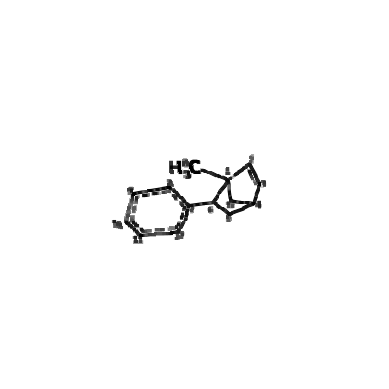 CC12C=CC(CC1c1ccccc1)C2